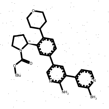 Bc1cc(-c2cc(-c3ccc(C4CCOCC4)c([C@@H]4CCCN4C(=O)OC(C)(C)C)c3)cnc2N)ccn1